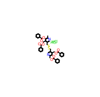 Cc1ncc(CSSCc2cnc(C)c(OC(=O)c3ccccc3)c2COC(=O)c2ccccc2)c(COC(=O)c2ccccc2)c1OC(=O)c1ccccc1.Cl.Cl